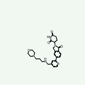 O=C1CCC(N2Cc3cc(-c4cc(CNCCCN5CCOCC5)ccn4)ccc3C2=O)C(=O)N1